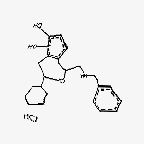 Cl.Oc1ccc2c(c1O)CC(C1CCCCC1)OC2CNCc1ccccc1